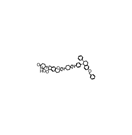 O=C1CCC(N2Cc3cc4c(cc3C2=O)CCC2(CN(C3CCC5(CC3)CN(c3ccc([C@@H]6c7ccc(OCc8ccccc8)cc7CC[C@@H]6c6ccccc6)cc3)C5)C2)O4)C(=O)N1